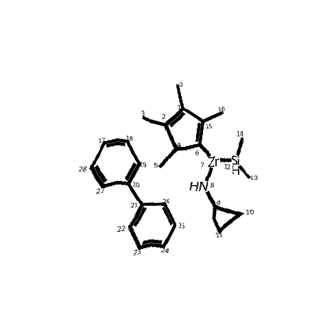 CC1=C(C)C(C)[C]([Zr]([NH]C2CC2)[SiH](C)C)=C1C.c1ccc(-c2ccccc2)cc1